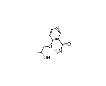 CC(O)COc1ccncc1C(N)=O